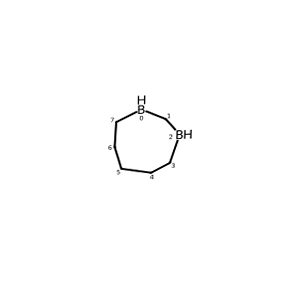 B1CBCCCCC1